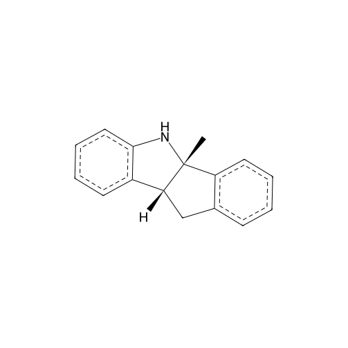 C[C@]12Nc3ccccc3[C@H]1Cc1ccccc12